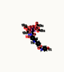 CCOc1ccc(N(C)C(=O)Oc2ccc(-c3c(C)c4cc(NC(=O)CCC([PH](=O)OC(OC(=O)C(C)(C)C)OC(=O)C(C)(C)C)[PH](=O)OC(OC(=O)C(C)(C)C)OC(=O)C(C)(C)C)c(O)cc4n3CC)cc2)cc1